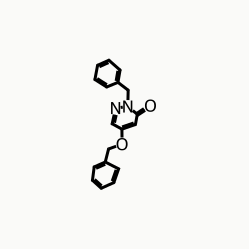 O=c1cc(OCc2ccccc2)cnn1Cc1ccccc1